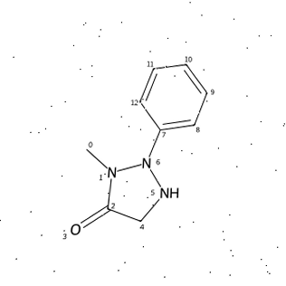 CN1C(=O)CNN1c1ccccc1